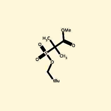 COC(=O)C(C)(C)S(=O)(=O)OCC(C)(C)C